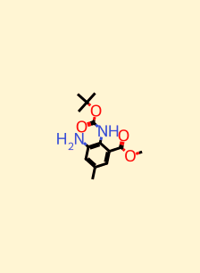 COC(=O)c1cc(C)cc(N)c1NC(=O)OC(C)(C)C